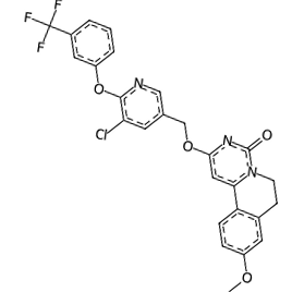 COc1ccc2c(c1)CCn1c-2cc(OCc2cnc(Oc3cccc(C(F)(F)F)c3)c(Cl)c2)nc1=O